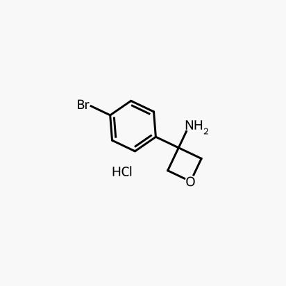 Cl.NC1(c2ccc(Br)cc2)COC1